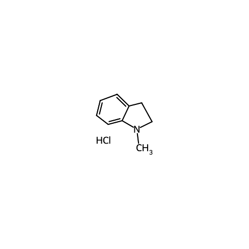 CN1CCc2ccccc21.Cl